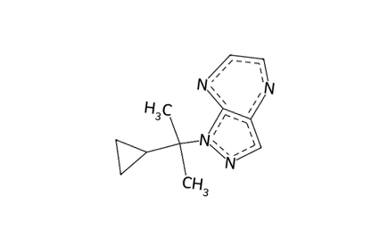 CC(C)(C1CC1)n1ncc2nccnc21